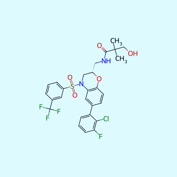 CC(C)(CO)C(=O)NC[C@H]1CN(S(=O)(=O)c2cccc(C(F)(F)F)c2)c2cc(-c3cccc(F)c3Cl)ccc2O1